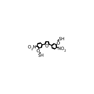 O=[N+]([O-])c1ccc(-c2ccc(-c3ccc([N+](=O)[O-])c(OCS)c3)o2)cc1OCS